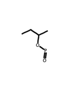 CCC(C)OP=O